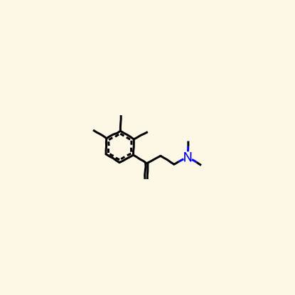 C=C(CCN(C)C)c1ccc(C)c(C)c1C